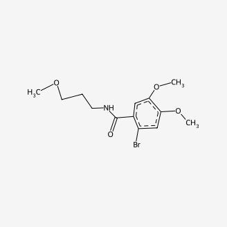 COCCCNC(=O)c1cc(OC)c(OC)cc1Br